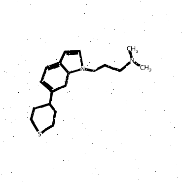 CN(C)CCCN1C=CC2=CC=C(C3CCSCC3)CC21